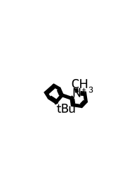 C[n+]1ccccc1-c1ccccc1C(C)(C)C